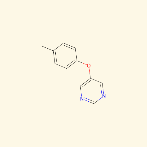 Cc1ccc(Oc2cncnc2)cc1